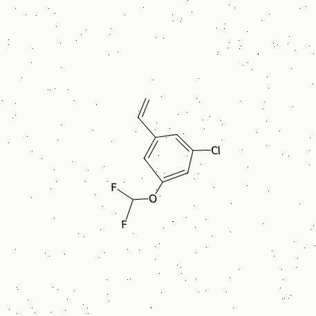 C=Cc1cc(Cl)cc(OC(F)F)c1